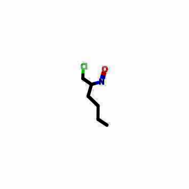 CCCCC(CCl)N=O